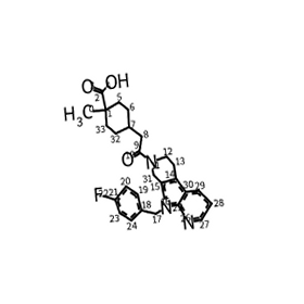 CC1(C(=O)O)CCC(CC(=O)N2CCc3c(n(Cc4ccc(F)cc4)c4ncccc34)C2)CC1